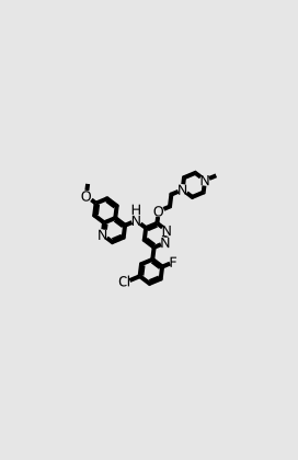 COc1ccc2c(Nc3cc(-c4cc(Cl)ccc4F)nnc3OCCN3CCN(C)CC3)ccnc2c1